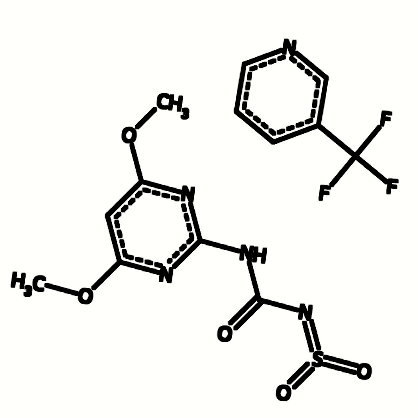 COc1cc(OC)nc(NC(=O)N=S(=O)=O)n1.FC(F)(F)c1cccnc1